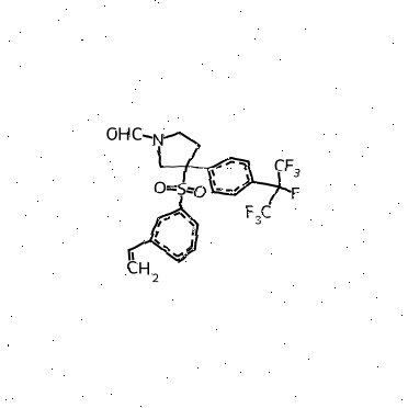 C=Cc1cccc(S(=O)(=O)C2(c3ccc(C(F)(C(F)(F)F)C(F)(F)F)cc3)CCN(C=O)C2)c1